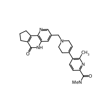 CNC(=O)c1ccc(C2=CCN(Cc3cnc4c5c(c(=O)[nH]c4c3)CCC5)CC2)c(C)n1